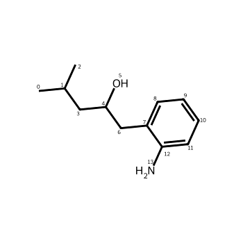 CC(C)CC(O)Cc1ccccc1N